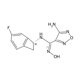 Nc1nonc1/C(=N\O)N[C@@H]1Cc2ccc(F)cc21